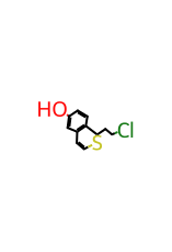 Oc1ccc2c(c1)C=CSC2CCCl